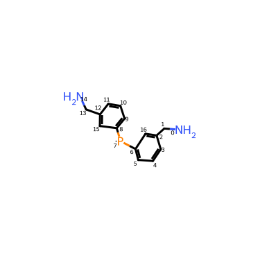 NCc1cccc([P]c2cccc(CN)c2)c1